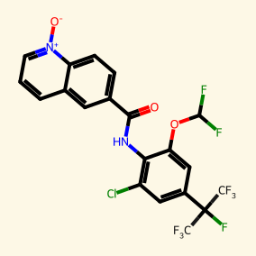 O=C(Nc1c(Cl)cc(C(F)(C(F)(F)F)C(F)(F)F)cc1OC(F)F)c1ccc2c(ccc[n+]2[O-])c1